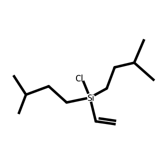 C=C[Si](Cl)(CCC(C)C)CCC(C)C